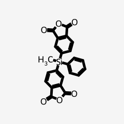 C[Si](c1ccccc1)(c1ccc2c(c1)C(=O)OC2=O)c1ccc2c(c1)C(=O)OC2=O